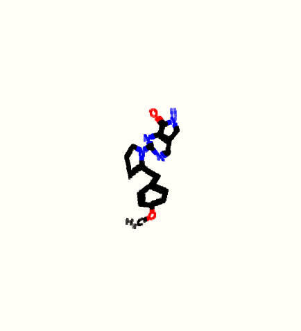 COc1ccc(CC2CCCN2c2ncc3c(n2)C(=O)NC3)cc1